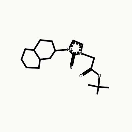 CC(C)(C)OC(=O)Cn1ccn(C2CCC3CCCCC3C2)c1=S